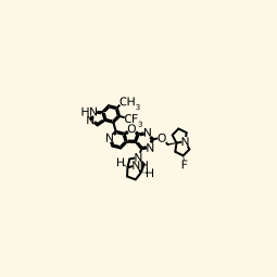 Cc1cc2[nH]ncc2c(-c2nccc3c2oc2nc(OC[C@@]45CCCN4C[C@H](F)C5)nc(N4C[C@H]5CC[C@@H](C4)N5)c23)c1C(F)(F)F